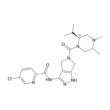 CC(C)[C@H]1CN(C)C(C)CN1C(=O)N1Cc2[nH]nc(NC(=O)c3ccc(Cl)cn3)c2C1